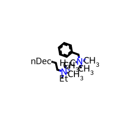 CCCCCCCCCCCC[N+](C)(C)CC.C[N+](C)(C)Cc1ccccc1